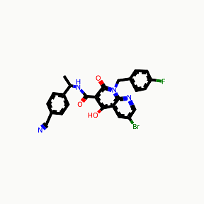 CC(NC(=O)c1c(O)c2cc(Br)cnc2n(Cc2ccc(F)cc2)c1=O)c1ccc(C#N)cc1